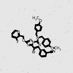 COc1ccc(CN(Cc2ccc(OC)cc2)c2nc(-c3cccc(C#N)c3)c(Br)c3nc(OCc4ncccc4F)nn23)cc1